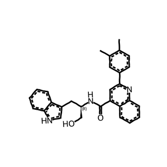 Cc1ccc(-c2cc(C(=O)N[C@@H](CO)Cc3c[nH]c4ccccc34)c3ccccc3n2)cc1C